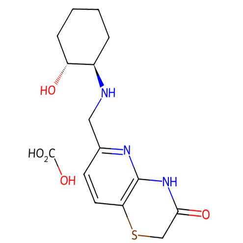 O=C(O)O.O=C1CSc2ccc(CN[C@@H]3CCCC[C@H]3O)nc2N1